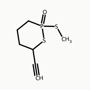 C#CC1CCCP(=O)(SC)S1